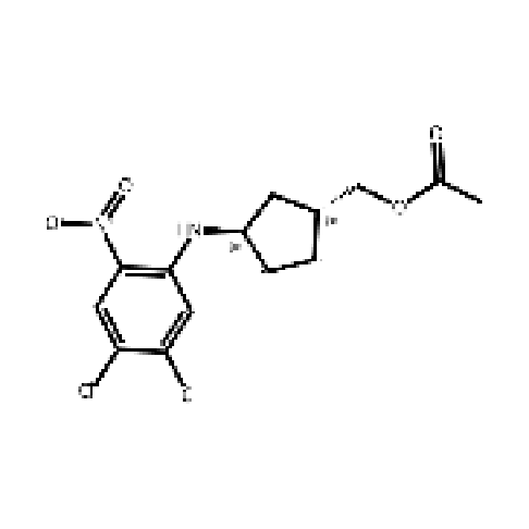 CC(=O)OC[C@@H]1[CH][CH][C@@H](Nc2cc(Cl)c(Cl)cc2[N+](=O)[O-])C1